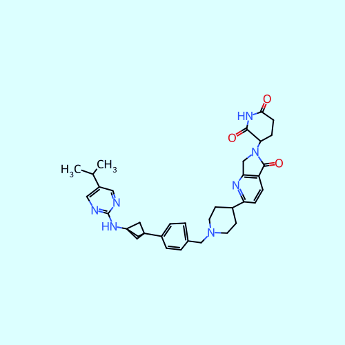 CC(C)c1cnc(NC23CC(c4ccc(CN5CCC(c6ccc7c(n6)CN(C6CCC(=O)NC6=O)C7=O)CC5)cc4)(C2)C3)nc1